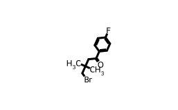 CC(C)(CBr)CC(=O)c1ccc(F)cc1